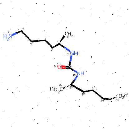 C[C@H](CCCCN)NC(=O)N[C@H](CCCC(=O)O)C(=O)O